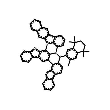 Cc1cc2c(cc1N1B3c4c(cc5c(sc6ccccc65)c4-n4c5cc6ccccc6cc5c5cccc3c54)-c3c1ccc1c3sc3ccccc31)C(C)(C)CCC2(C)C